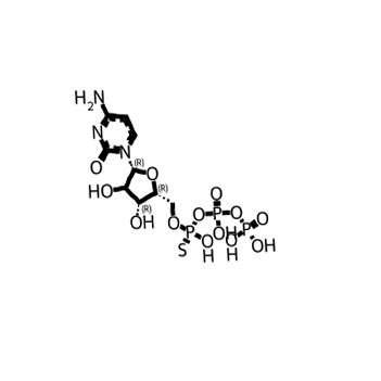 Nc1ccn([C@@H]2O[C@H](COP(O)(=S)OP(=O)(O)OP(=O)(O)O)[C@H](O)C2O)c(=O)n1